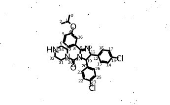 CC(C)Oc1cccc(C2=NC(c3ccc(Cl)cc3)C(c3ccc(Cl)cc3)N2C(=O)N2CCNCC2)c1